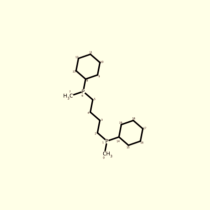 CP(CCCCP(C)C1CCCCC1)C1CCCCC1